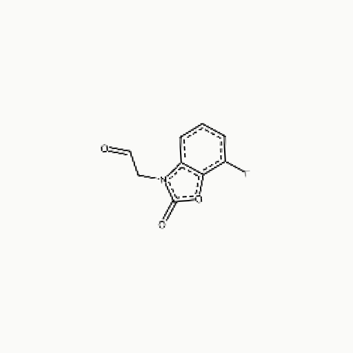 O=CCn1c(=O)oc2c(F)cccc21